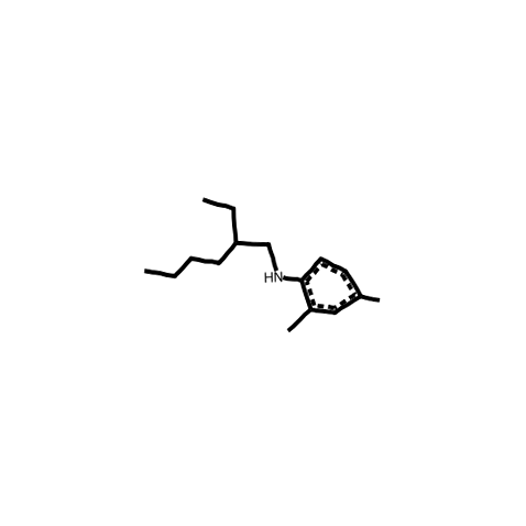 CCCCC(CC)CNc1ccc(C)cc1C